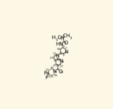 CN(C)C(=O)Nc1cncc(-n2ccc3cc(C(=O)N4CCC(F)(F)CC4)cnc32)c1